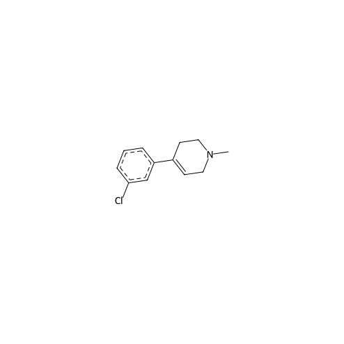 CN1CC=C(c2cccc(Cl)c2)CC1